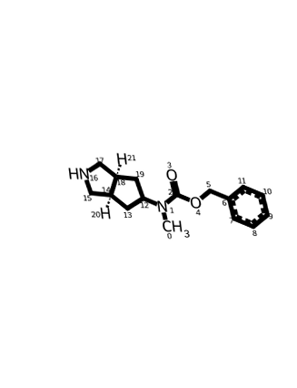 CN(C(=O)OCc1ccccc1)C1C[C@H]2CNC[C@H]2C1